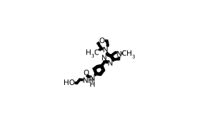 CC1COCCN1c1nc(-c2ccc(NC(=O)NCCO)cc2)nc2c1CN(C)C2